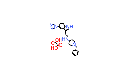 O=C(O)C(=O)O.c1ccc(CN2CCC(NCCc3c[nH]c4ccc(-n5cnnc5)cc34)CC2)cc1